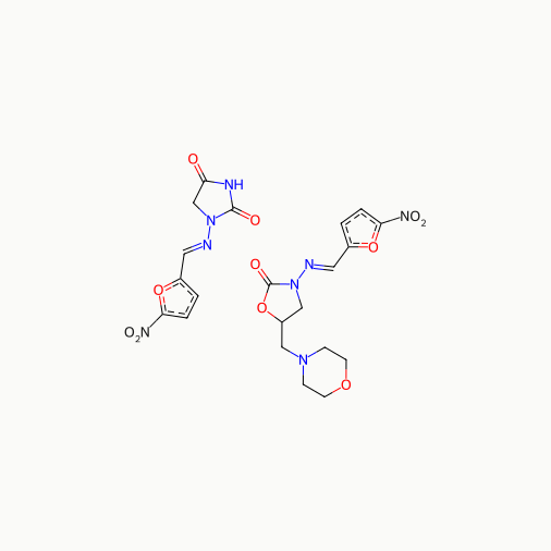 O=C1CN(/N=C/c2ccc([N+](=O)[O-])o2)C(=O)N1.O=C1OC(CN2CCOCC2)CN1N=Cc1ccc([N+](=O)[O-])o1